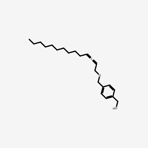 CCCCCCCCCCC=C=CCOCc1ccc(CO)cc1